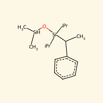 CC(C)[Si](O[SiH](C)C)(C(C)C)C(C)c1ccccc1